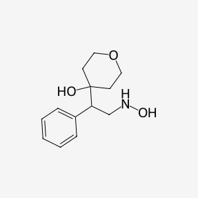 ONCC(c1ccccc1)C1(O)CCOCC1